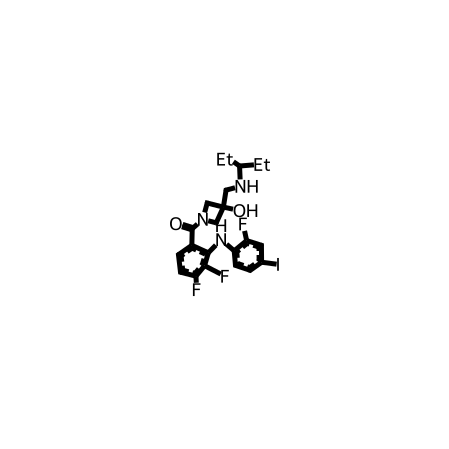 CCC(CC)NCC1(O)CN(C(=O)c2ccc(F)c(F)c2Nc2ccc(I)cc2F)C1